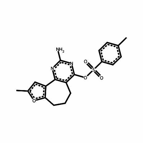 Cc1ccc(S(=O)(=O)Oc2nc(N)nc3c2CCCc2oc(C)cc2-3)cc1